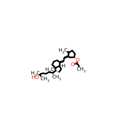 C=C1CC[C@H](OC(=O)CC)CC1=CC=C1CCC[C@@]2(C)[C@@H]1CC[C@@H]2[C@H](C)CCCC(C)(C)O